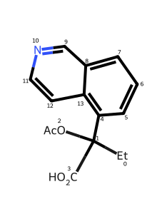 CCC(OC(C)=O)(C(=O)O)c1cccc2cnccc12